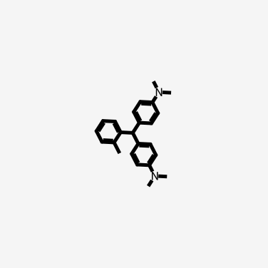 Cc1ccccc1C(c1ccc(N(C)C)cc1)c1ccc(N(C)C)cc1